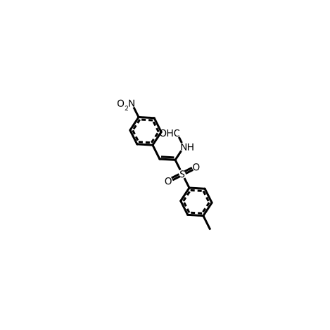 Cc1ccc(S(=O)(=O)C(=Cc2ccc([N+](=O)[O-])cc2)NC=O)cc1